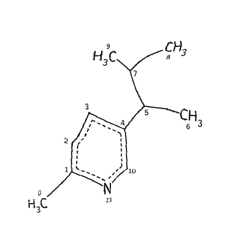 Cc1ccc(C(C)C(C)C)cn1